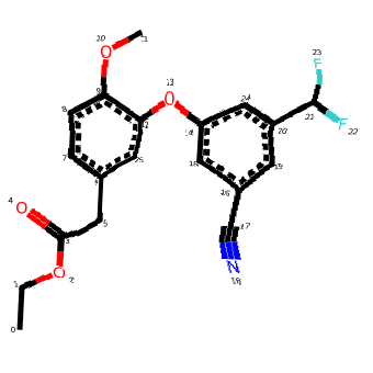 CCOC(=O)Cc1ccc(OC)c(Oc2cc(C#N)cc(C(F)F)c2)c1